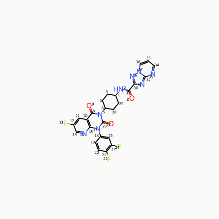 O=C(NC1CCC(n2c(=O)c3cc(F)cnc3n(-c3ccc(F)c(F)c3)c2=O)CC1)c1nc2ncccn2n1